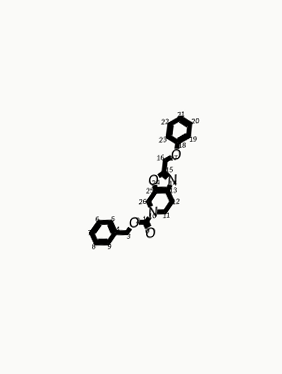 O=C(OCc1ccccc1)N1CCc2nc(COc3ccccc3)oc2C1